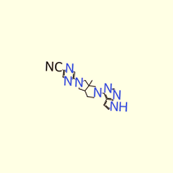 CC12CN(c3cnc(C#N)cn3)CC1CCN(c1ncnc3[nH]ccc13)C2